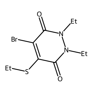 CCSc1c(Br)c(=O)n(CC)n(CC)c1=O